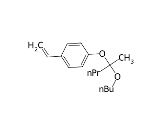 C=Cc1ccc(OC(C)(CCC)OCCCC)cc1